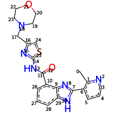 Cc1ncccc1-c1nc2c(C(=O)Nc3nc(CN4CCOCC4)cs3)cccc2[nH]1